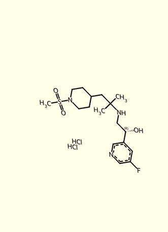 CC(C)(CC1CCN(S(C)(=O)=O)CC1)NC[C@H](O)c1cncc(F)c1.Cl.Cl